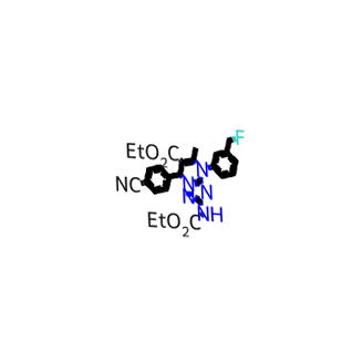 CCOC(=O)Nc1nc2n(n1)C(c1ccc(C#N)cc1)C(C(=O)OCC)=C(C)N2c1cccc(CF)c1